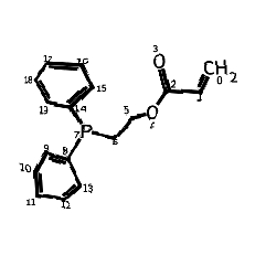 C=CC(=O)OCCP(c1ccccc1)c1ccccc1